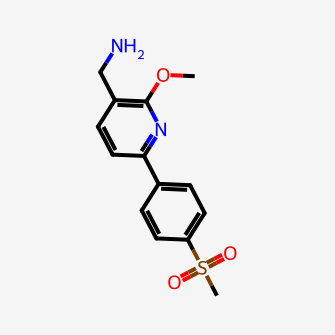 COc1nc(-c2ccc(S(C)(=O)=O)cc2)ccc1CN